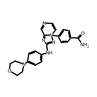 NC(=O)c1ccc([N+]23C=CN=CC2=NC(Nc2ccc(N4CCOCC4)cc2)=N3)cc1